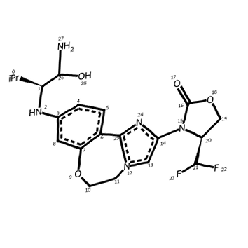 CC(C)[C@H](Nc1ccc2c(c1)OCCn1cc(N3C(=O)OC[C@H]3C(F)F)nc1-2)C(N)O